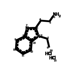 CCn1c(CCN)nc2ccccc21.Cl.Cl